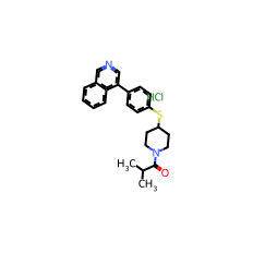 CC(C)C(=O)N1CCC(Sc2ccc(-c3cncc4ccccc34)cc2)CC1.Cl